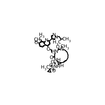 COc1ccc2c(OCC[C@@H]3NC(=O)N(C)CCCC/C=C\[C@@H]4C[C@@]4(C(=O)NS(=O)(=O)C4(C)CC4)NC3=O)cc(-c3cnn(CC(C)C)c3)nc2c1C